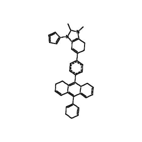 CC1N(C)C2=C(C=C(c3ccc(C4=C5CCC=CC5=C(C5=CCCC=C5)C5=CC=CCC54)cc3)CC2)N1C1=CC=C=C1